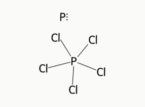 ClP(Cl)(Cl)(Cl)Cl.[P]